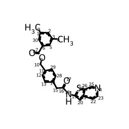 Cc1cc(C)cc(C(=O)OCc2ccc(CC(=O)Nc3cc4ccncc4s3)cc2)c1